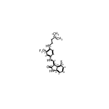 CN(C)CCNc1ccc(NC=C2C(=O)Nc3cccc(F)c32)cc1C(F)(F)F